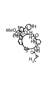 CCn1c(-c2cc(N3CCNCC3)cnc2[C@H](C)OC)c2c3cc(ccc31)C1CSC(=N1)C[C@H](NC(=O)[C@H]1C[C@@H]1C)C(=O)N1CCC[C@@](C)(N1)C(=O)OCC(C)(C)C2